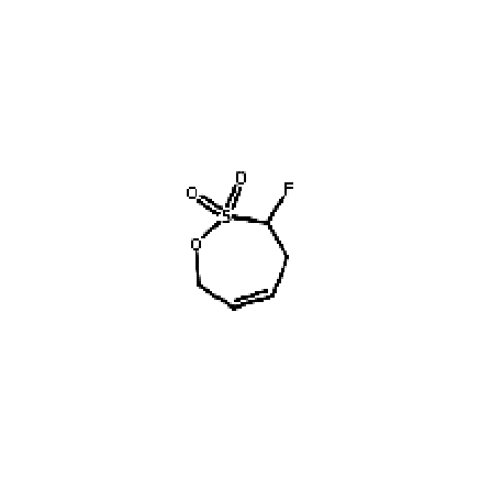 O=S1(=O)OCC=CCC1F